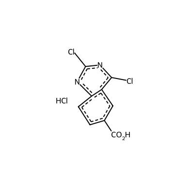 Cl.O=C(O)c1ccc2nc(Cl)nc(Cl)c2c1